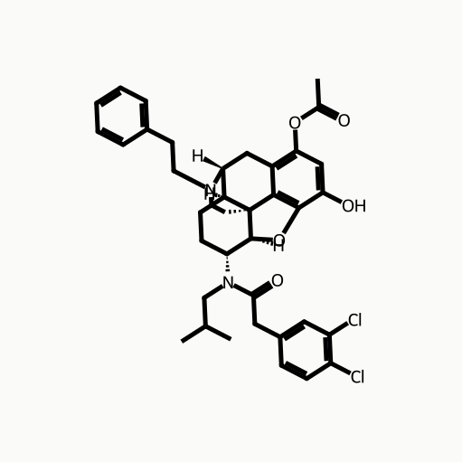 CC(=O)Oc1cc(O)c2c3c1C[C@@H]1[C@@H]4CC[C@@H](N(CC(C)C)C(=O)Cc5ccc(Cl)c(Cl)c5)[C@H](O2)[C@]34CCN1CCc1ccccc1